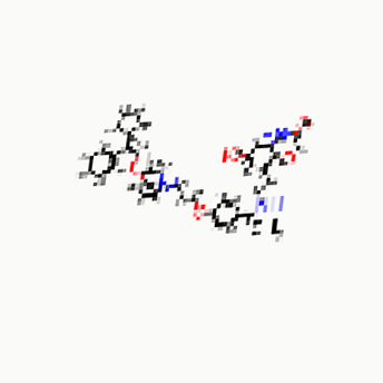 C[C@H](NCCc1cc(O)cc2c1OCC(=O)N2)c1ccc(OCCC[N+]23CCC(CC2)[C@H](OCC(c2ccccc2)C2CCCC2)C3)cc1